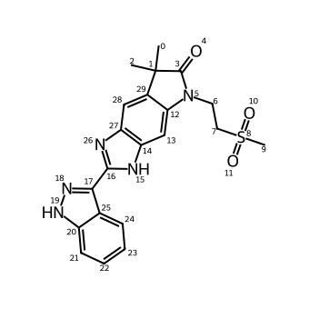 CC1(C)C(=O)N(CCS(C)(=O)=O)c2cc3[nH]c(-c4n[nH]c5ccccc45)nc3cc21